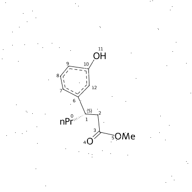 CCC[C@@H](CC(=O)OC)c1cccc(O)c1